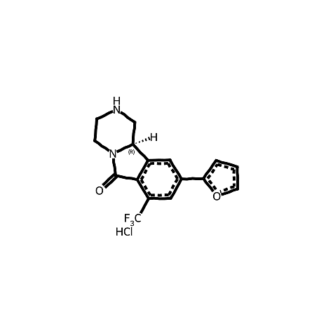 Cl.O=C1c2c(cc(-c3ccco3)cc2C(F)(F)F)[C@@H]2CNCCN12